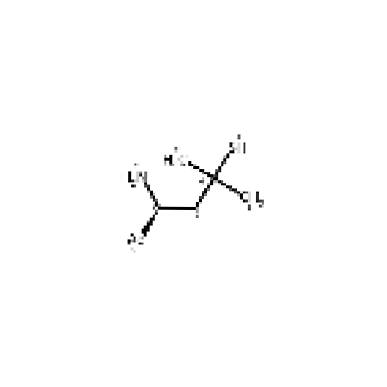 CC(=O)[C@@H](N)CC(C)(C)S